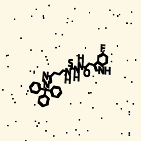 O=C(Cc1c[nH]c2ccc(F)cc12)NNC(=S)NCCCc1cn(C(c2ccccc2)(c2ccccc2)c2ccccc2)cn1